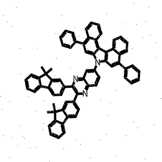 CC1(C)c2ccccc2-c2ccc(-c3nc4ccc(-n5c6cc(-c7ccccc7)c7ccccc7c6c6c7ccccc7c(-c7ccccc7)cc65)cc4nc3-c3ccc4c(c3)C(C)(C)c3ccccc3-4)cc21